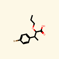 CCCOC(C(=O)O)C(C)c1ccc(Br)cc1